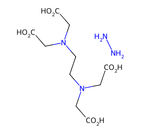 NN.O=C(O)CN(CCN(CC(=O)O)CC(=O)O)CC(=O)O